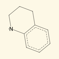 c1ccc2c(c1)CCC[N]2